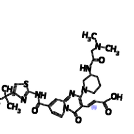 CN(C)CC(=O)NC1CCCN(c2nc3cc(C(=O)Nc4nc(C(C)(C)C)cs4)ccn3c(=O)c2/C=C/C(=O)O)C1